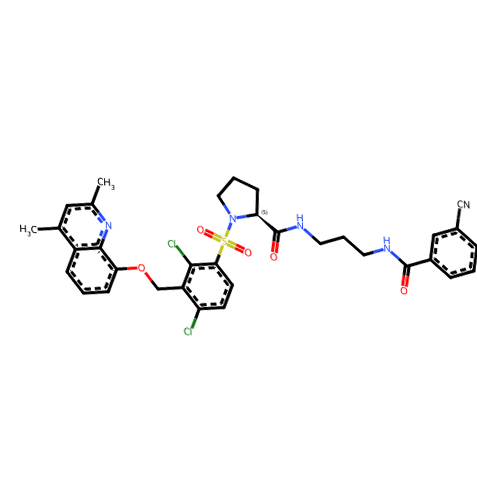 Cc1cc(C)c2cccc(OCc3c(Cl)ccc(S(=O)(=O)N4CCC[C@H]4C(=O)NCCCNC(=O)c4cccc(C#N)c4)c3Cl)c2n1